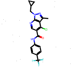 Cc1nn(CC2CC2)c2ncc(C(=O)Nc3ccc(C(F)(F)F)cc3)c(Cl)c12